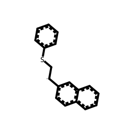 [CH](CSc1ccccc1)c1ccc2ccccc2c1